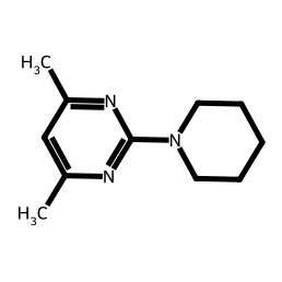 Cc1cc(C)nc(N2CCCCC2)n1